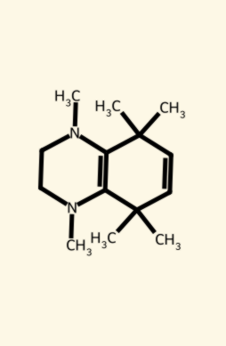 CN1CCN(C)C2=C1C(C)(C)C=CC2(C)C